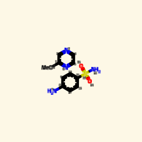 COc1cnccn1.Nc1ccc(S(N)(=O)=O)cc1